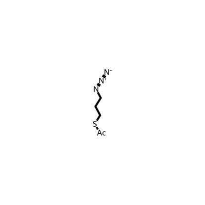 CC(=O)SCCCN=[N+]=[N-]